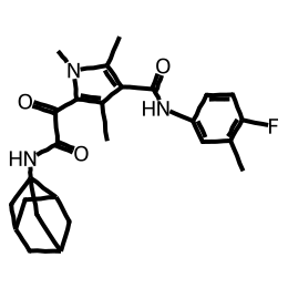 Cc1cc(NC(=O)c2c(C)c(C(=O)C(=O)NC34CC5CC(CC3C5)C4)n(C)c2C)ccc1F